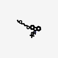 CCOCCCCOc1ccc2c(c1)/C(=N\OC(C)(C)C)c1ccccc1-2